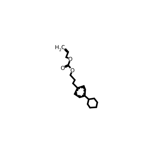 C=CCOC(=O)OCCCc1ccc(C2CCCCC2)cc1